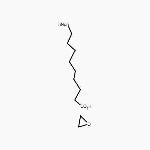 C1CO1.CCCCCCCCCCCCCCCCCC(=O)O